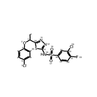 CC(Oc1ccc(Cl)cc1)c1nnc(NS(=O)(=O)c2ccc(F)c(Cl)c2)s1